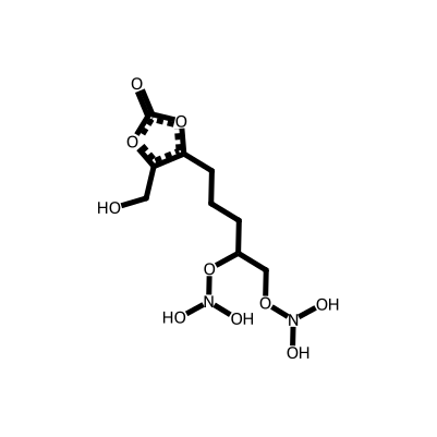 O=c1oc(CO)c(CCCC(CON(O)O)ON(O)O)o1